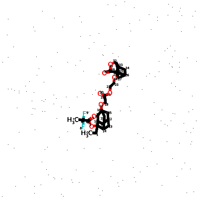 CCC1(OC(=O)C(C)(F)F)C2CC3CC1CC(OCC(=O)OCCOC1C4CC5C(=O)OC1C5C4)(C3)C2